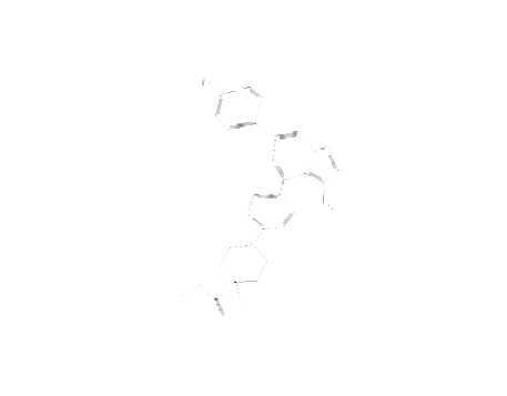 CCC1(C(=O)NC(C)C)CCN(c2ccc(-c3cc(-c4ccc(C(C)C)cc4)cn4ncc(C#N)c34)cn2)CC1